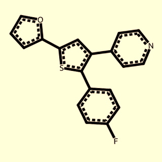 Fc1ccc(-c2sc(-c3ccco3)cc2-c2ccncc2)cc1